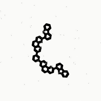 c1cc(-c2cnc3c(ccc4ccc(-c5cccc6c5sc5ccccc56)nc43)c2)cc(-c2cnc3c(ccc4ccc(-c5cccc6c5sc5ccccc56)nc43)c2)c1